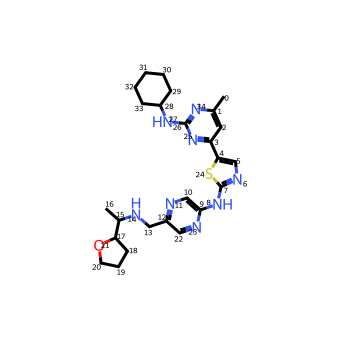 Cc1cc(-c2cnc(Nc3cnc(CNC(C)C4CCCO4)cn3)s2)nc(NC2CCCCC2)n1